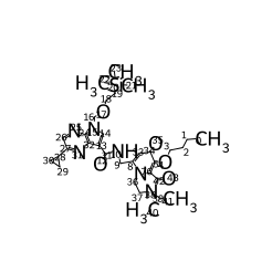 CCCCOc1c2n(c(CNC(=O)c3cn(COCC[Si](C)(C)C)c4ncc(C5CC5)nc34)cc1=O)CCN(C(C)C)C2=O